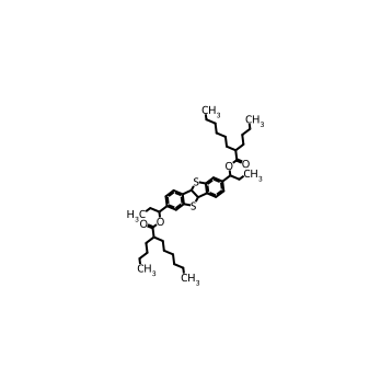 CCCCCCC(CCCC)C(=O)OC(CC)c1ccc2c(c1)SC1c3ccc(C(CC)OC(=O)C(CCCC)CCCCCC)cc3SC21